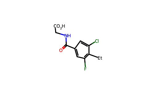 CCc1c(F)cc(C(=O)NCC(=O)O)cc1Cl